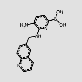 Nc1ccc(B(O)O)nc1NCc1ccc2ncccc2c1